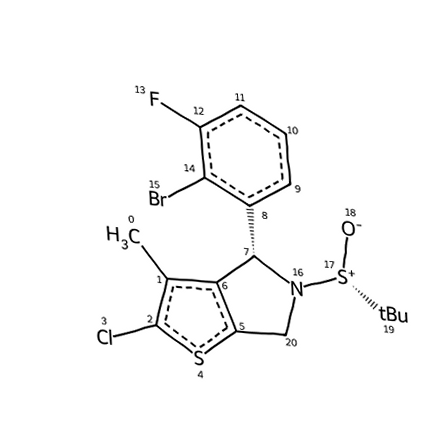 Cc1c(Cl)sc2c1[C@H](c1cccc(F)c1Br)N([S@+]([O-])C(C)(C)C)C2